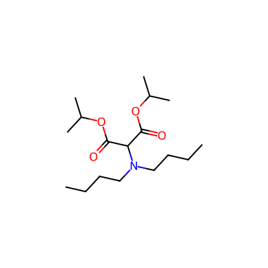 CCCCN(CCCC)C(C(=O)OC(C)C)C(=O)OC(C)C